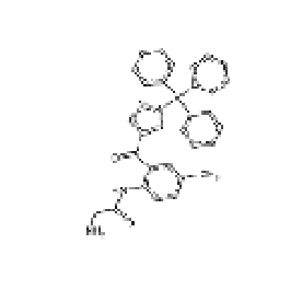 Cc1ccc(NC(=O)CN)c(C(=O)c2cnn(C(c3ccccc3)(c3ccccc3)c3ccccc3)c2)c1